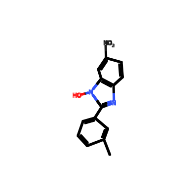 Cc1cccc(-c2nc3ccc([N+](=O)[O-])cc3n2O)c1